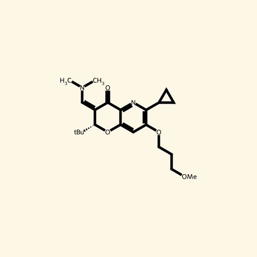 COCCCOc1cc2c(nc1C1CC1)C(=O)C(=CN(C)C)[C@@H](C(C)(C)C)O2